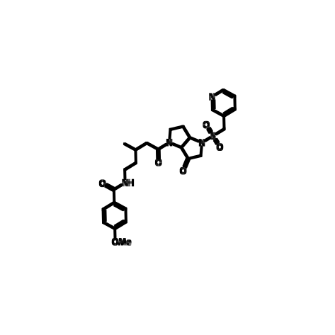 COc1ccc(C(=O)NCCC(C)CC(=O)N2CCC3C2C(=O)CN3S(=O)(=O)Cc2cccnc2)cc1